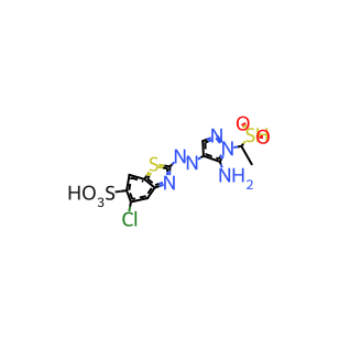 CC(n1ncc(N=Nc2nc3cc(Cl)c(S(=O)(=O)O)cc3s2)c1N)[SH](=O)=O